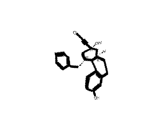 Oc1ccc2c(c1)CC[C@@H]1C[C@](O)(C#CCl)C[C@@H](Cc3ccccc3)C21